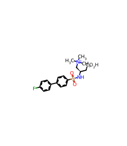 C[N+](C)(C)C[C@@H](CC(=O)O)NS(=O)(=O)c1ccc(-c2ccc(F)cc2)cc1